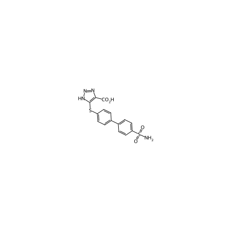 NS(=O)(=O)c1ccc(-c2ccc(Sc3[nH]nnc3C(=O)O)cc2)cc1